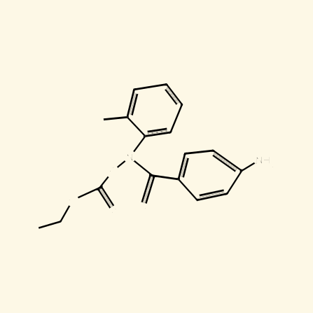 CCOC(=O)CN(C(=O)c1ccc(N)cc1)c1ccccc1C